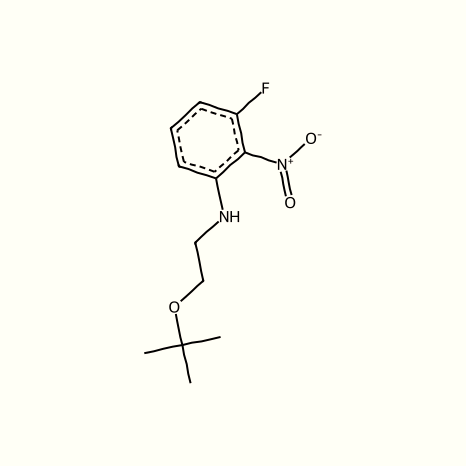 CC(C)(C)OCCNc1cccc(F)c1[N+](=O)[O-]